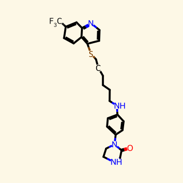 O=C1CNCCN1c1ccc(NCCCCCCSc2ccnc3cc(C(F)(F)F)ccc23)cc1